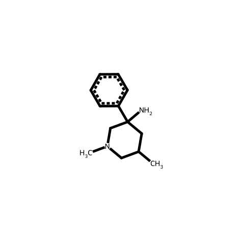 CC1CN(C)CC(N)(c2ccccc2)C1